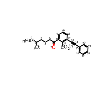 CCCCCCC(CC)CCCC(=O)c1cc[c]c(C#Cc2ccccc2)c1C(=O)O